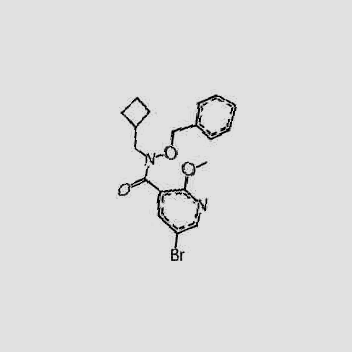 COc1ncc(Br)cc1C(=O)N(CC1CCC1)OCc1ccccc1